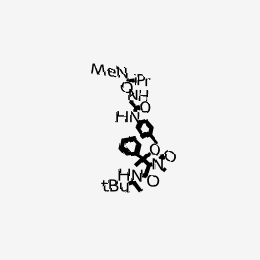 CNC(ONCC(=O)Nc1ccc(COC(=O)N(C)C(C(=O)NC(C)C(C)(C)C)C(C)(C)c2ccccc2)cc1)C(C)C